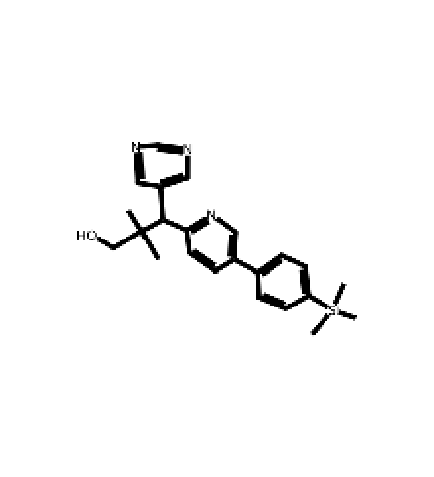 CC(C)(CO)C(c1cncnc1)c1ccc(-c2ccc([Si](C)(C)C)cc2)cn1